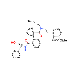 COc1cccc(CCN(CCC(=O)O)C(=O)c2ccccc2-c2ccccc2C(=O)N[C@H](CO)c2ccccc2)c1OC